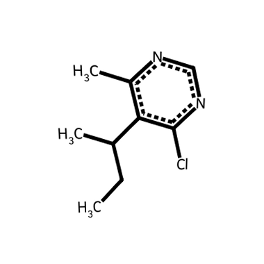 CCC(C)c1c(C)ncnc1Cl